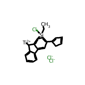 CC[Si]1(Cl)c2c(C3=CC=CC3)cc3c(c21)[CH]([Ti+2])c1ccccc1-3.[Cl-].[Cl-]